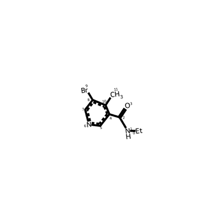 CCNC(=O)c1cncc(Br)c1C